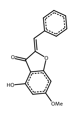 COc1cc(O)c2c(c1)OC(=Cc1ccccc1)C2=O